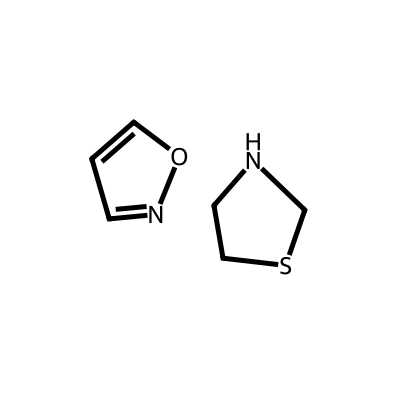 C1CSCN1.c1cnoc1